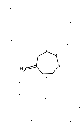 C=C1CCSCSC1